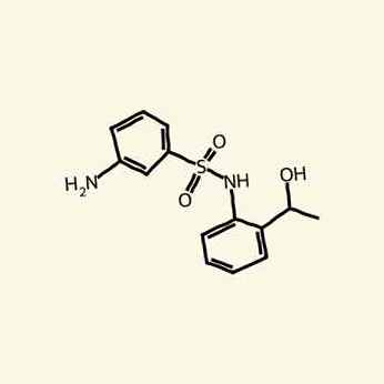 CC(O)c1ccccc1NS(=O)(=O)c1cccc(N)c1